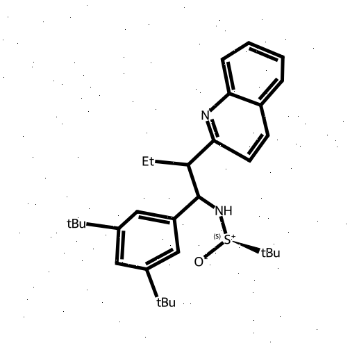 CCC(c1ccc2ccccc2n1)C(N[S@+]([O-])C(C)(C)C)c1cc(C(C)(C)C)cc(C(C)(C)C)c1